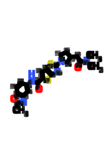 Cc1nc2cc(NC(=O)c3cc4sc(N5CCC(CC(=O)N(C)C)C5)nc4s3)ccc2o1